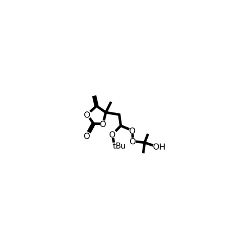 C=C1OC(=O)OC1(C)CC(OOC(C)(C)O)OC(C)(C)C